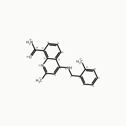 Cc1cc(NCc2ccccc2C)c2cccc(C(N)=O)c2n1